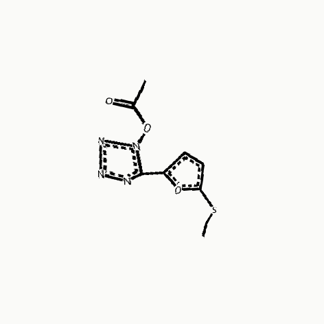 CSc1ccc(-c2nnnn2OC(C)=O)o1